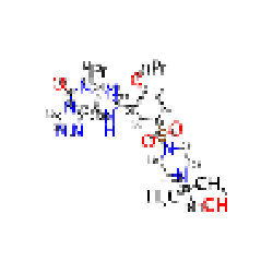 CCCOc1ccc(S(=O)(=O)N2CCN(C(C)(C)CO)CC2)cc1-c1nc2c([nH]1)c1nncn1c(=O)n2CCC